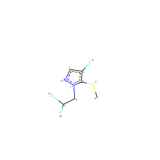 CSc1c(F)[c]nn1CC(F)F